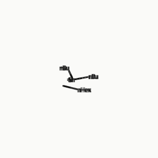 CCCCCCC.CCC[CH2][Sn][CH2]CCC